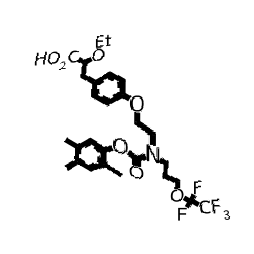 CCOC(Cc1ccc(OCCN(CCCOC(F)(F)C(F)(F)F)C(=O)Oc2cc(C)c(C)cc2C)cc1)C(=O)O